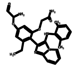 CCc1cc(OC(N)C=O)cc(OCC(N)=O)c1-c1nc2ccccn2c1Nc1c(C)cccc1C